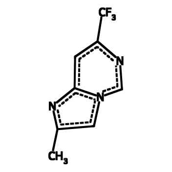 Cc1cn2cnc(C(F)(F)F)cc2n1